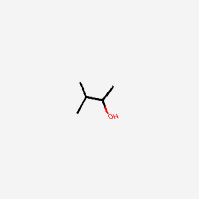 C[C](O)C(C)C